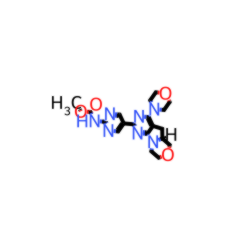 COC(=O)Nc1ncc(-c2nc(N3CCOCC3)c3c(n2)N2CCOC[C@H]2C3)cn1